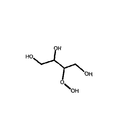 OCC(O)C(CO)OO